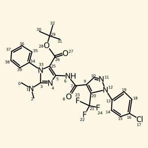 CN(C)c1nc(NC(=O)c2cnn(-c3ccc(Cl)cc3)c2C(F)(F)F)c(C(=O)OC(C)(C)C)n1-c1ccccc1